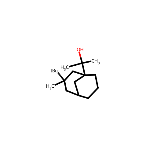 CC(C)(C)C1(C)CC2CCCC(C(C)(C)O)(C2)C1